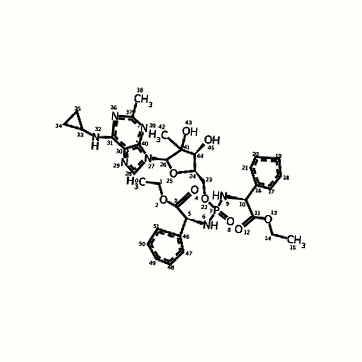 CCOC(=O)[C@@H](NP(=O)(N[C@H](C(=O)OCC)c1ccccc1)OC[C@H]1O[C@@H](n2cnc3c(NC4CC4)nc(C)nc32)C(C)(O)[C@H]1O)c1ccccc1